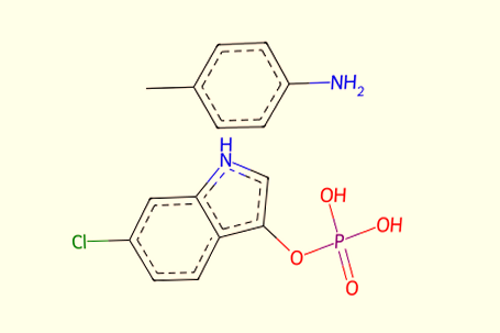 Cc1ccc(N)cc1.O=P(O)(O)Oc1c[nH]c2cc(Cl)ccc12